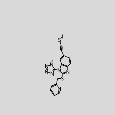 Cn1nnnc1-n1c(SCc2ccccn2)nc2ccc(C#CSI)cc21